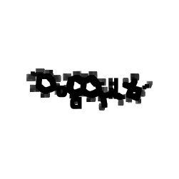 CC(NC[C@H]1C[C@@H](C)C1(C)C)c1ccc2ccc(O[C@H]3CC[C@@H](C)CC3)c(Cl)c2c1